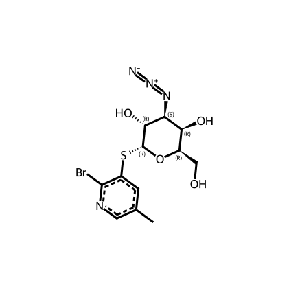 Cc1cnc(Br)c(S[C@H]2O[C@H](CO)[C@H](O)[C@H](N=[N+]=[N-])[C@H]2O)c1